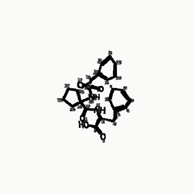 O=C(O)[C@H](Cc1ccccc1)NC(=O)C1(NS(=O)(=O)Cc2ccccc2)CCCC1